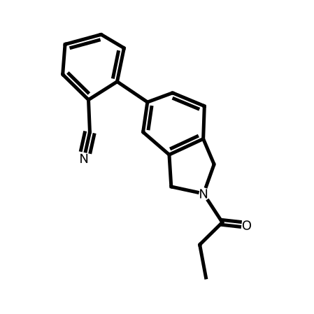 CCC(=O)N1Cc2ccc(-c3ccccc3C#N)cc2C1